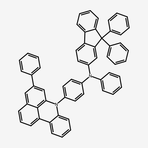 c1ccc(-c2cc3c4c(cccc4c2)-c2ccccc2N3c2ccc(N(c3ccccc3)c3ccc4c(c3)C(c3ccccc3)(c3ccccc3)c3ccccc3-4)cc2)cc1